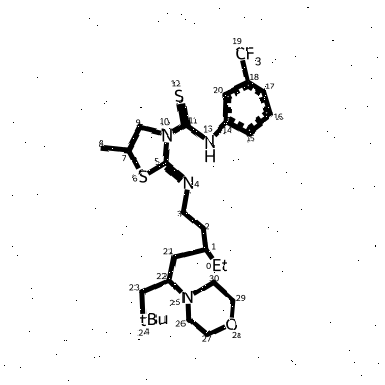 CCC(CCN=C1SC(C)CN1C(=S)Nc1cccc(C(F)(F)F)c1)CC(CC(C)(C)C)N1CCOCC1